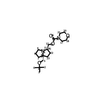 CC(C)(C)OC[C@]12CCCN1[C@@H](COC(=O)N1CCOCC1)CC2